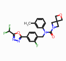 Cc1cccc(N(Cc2ccc(-c3nnc(C(F)F)o3)cc2F)C(=O)N2CC3(COC3)C2)c1